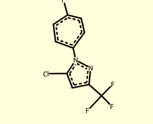 Fc1ccc(-n2nc(C(F)(F)F)[c]c2Cl)cc1